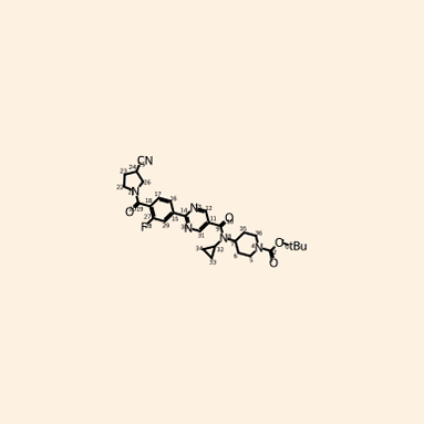 CC(C)(C)OC(=O)N1CCC(N(C(=O)c2cnc(-c3ccc(C(=O)N4CCC(C#N)C4)c(F)c3)nc2)C2CC2)CC1